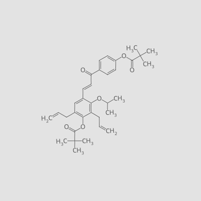 C=CCc1cc(C=CC(=O)c2ccc(OC(=O)C(C)(C)C)cc2)c(OC(C)C)c(CC=C)c1OC(=O)C(C)(C)C